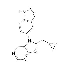 c1ncc2c(n1)SC(CC1CC1)N2c1ccc2[nH]ncc2c1